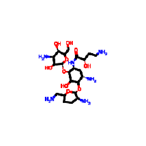 NCC[C@H](O)C(=O)N[C@@H]1C[C@H](N)C(O[C@H]2OC(CN)CCC2N)C(O)[C@H]1O[C@H]1OC(CO)[C@H](O)[C@H](N)C1O